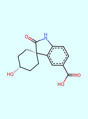 O=C(O)c1ccc2c(c1)[C@]1(CC[C@@H](O)CC1)C(=O)N2